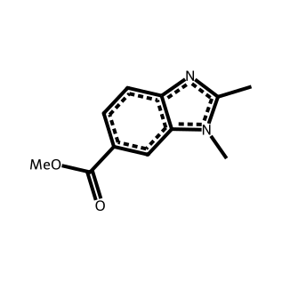 COC(=O)c1ccc2nc(C)n(C)c2c1